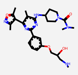 CNCC(O)COc1cccc(-c2nc(NC3CCN(C(=O)N(C)C)CC3)c(C)c(-c3c(C)noc3C)n2)c1